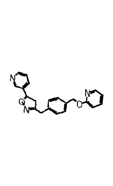 c1ccc(OCc2ccc(CC3=NOC(c4cccnc4)C3)cc2)nc1